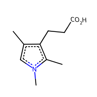 Cc1cn(C)c(C)c1CCC(=O)O